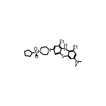 CCc1cc(N(C)C)cc2c1Nc1c(CC)cc(N3CCN(S(=O)(=O)C4CCCC4)CC3)cc1S2